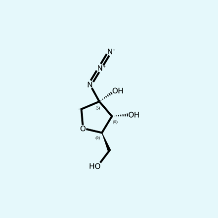 [N-]=[N+]=N[C@]1(O)[CH]O[C@H](CO)[C@H]1O